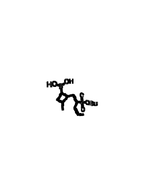 C/C=C\C(=C/C1C(C)CC1B(O)O)S(=O)(=O)OCC(C)C